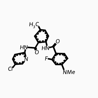 CNc1ccc(C(=O)Nc2ccc(C)cc2C(=O)Nc2ccc(Cl)cn2)c(F)c1